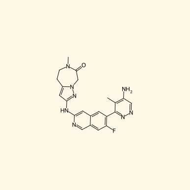 Cc1c(N)cnnc1-c1cc2cc(Nc3cc4n(n3)CC(=O)N(C)CC4)ncc2cc1F